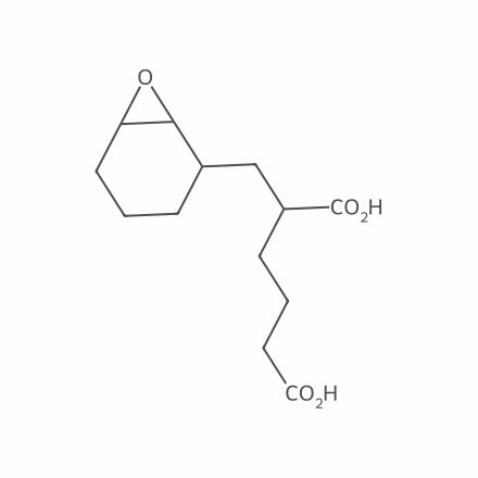 O=C(O)CCCC(CC1CCCC2OC12)C(=O)O